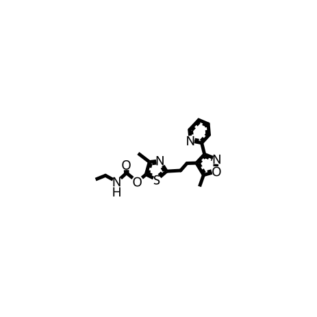 CCNC(=O)Oc1sc(CCc2c(-c3ccccn3)noc2C)nc1C